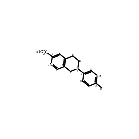 CCOC(=O)c1cc2c(cn1)CN(c1ccc(C)nc1)CC2